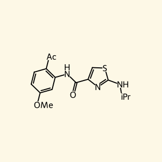 COc1ccc(C(C)=O)c(NC(=O)c2csc(NC(C)C)n2)c1